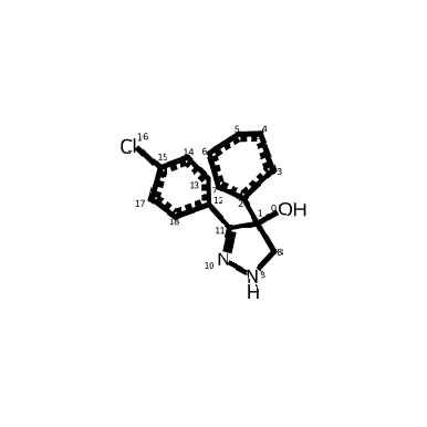 OC1(c2ccccc2)CNN=C1c1ccc(Cl)cc1